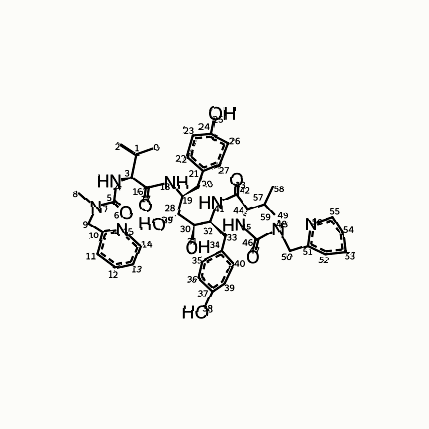 CC(C)[C@H](NC(=O)N(C)Cc1ccccn1)C(=O)N[C@@H](Cc1ccc(O)cc1)[C@@H](O)[C@H](O)[C@H](Cc1ccc(O)cc1)NC(=O)[C@@H](NC(=O)N(C)Cc1ccccn1)C(C)C